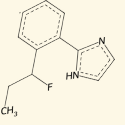 CCC(F)c1c[c]ccc1-c1ncc[nH]1